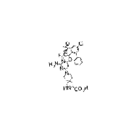 CS(=O)(=O)c1cc(Cl)cc(-c2ccccc2)c1[C@@H](Oc1cc(N2CCC3(CC2)CNC(C(=O)O)C3)nc(N)n1)C(F)(F)F